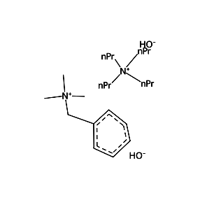 CCC[N+](CCC)(CCC)CCC.C[N+](C)(C)Cc1ccccc1.[OH-].[OH-]